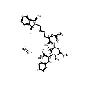 CC(=O)SC(CCCCN1C(=O)c2ccccc2C1=O)C(=O)N[C@@H](CC(C)C)C(=O)N[C@@H](Cc1ccccc1)C(=O)O.CN